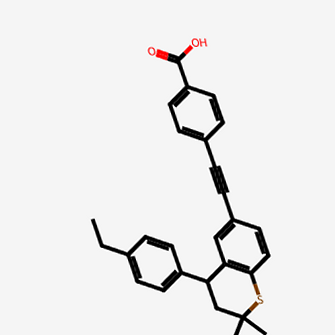 CCc1ccc(C2CC(C)(C)Sc3ccc(C#Cc4ccc(C(=O)O)cc4)cc32)cc1